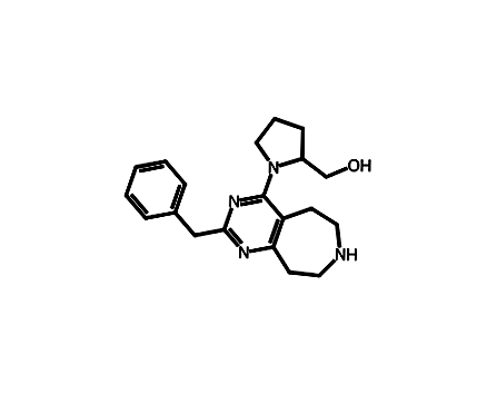 OCC1CCCN1c1nc(Cc2ccccc2)nc2c1CCNCC2